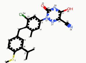 CSc1ccc(Cc2c(C)cc(-n3nc(C#N)c(O)nc3=O)cc2Cl)cc1C(C)C